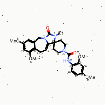 CCN1C(=O)N2Cc3cc(OC)cc(OC)c3[C@@H](C)C=C2C12CCN(C(=O)Nc1ccc(OC)cc1OC)CC2